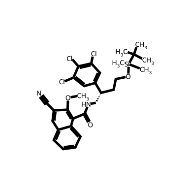 COc1c(C#N)cc2ccccc2c1C(=O)NC[C@@H](CCO[Si](C)(C)C(C)(C)C)c1cc(Cl)c(Cl)c(Cl)c1